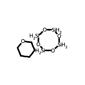 C1CCOCC1.O1[SiH2]O[SiH2]O[SiH2]O[SiH2]1